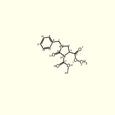 COC(=O)C1CN(Cc2ccccc2)C(=O)N1C(=O)OI